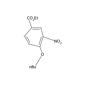 CCCCOc1c[c]c(C(=O)OCC)cc1[N+](=O)[O-]